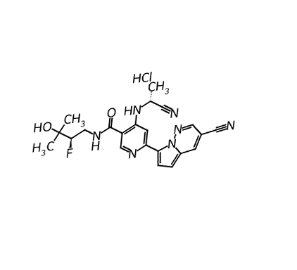 C[C@H](C#N)Nc1cc(-c2ccc3cc(C#N)cnn23)ncc1C(=O)NC[C@@H](F)C(C)(C)O.Cl